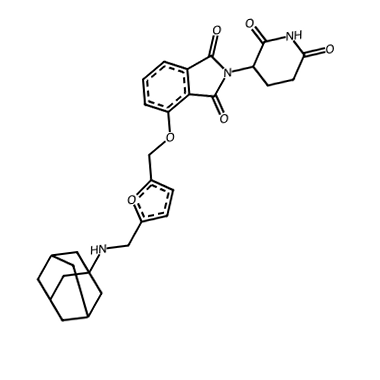 O=C1CCC(N2C(=O)c3cccc(OCc4ccc(CNC56CC7CC(CC(C7)C5)C6)o4)c3C2=O)C(=O)N1